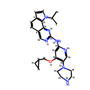 CC(C)n1ccc2ccc3cnc(Nc4cc(OCC5CC5)c(N5CCNCC5)cn4)nc3c21